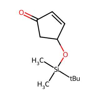 CC(C)(C)[Si](C)(C)OC1C=CC(=O)C1